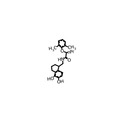 CCCC(Oc1c(C)cccc1C)C(=O)NCC1CCCc2c1ccc(O)c2O